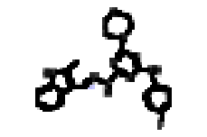 Cc1[nH]c2ccccc2c1/C=N/Nc1nc(Nc2ccc(F)cc2)nc(N2CCOCC2)n1